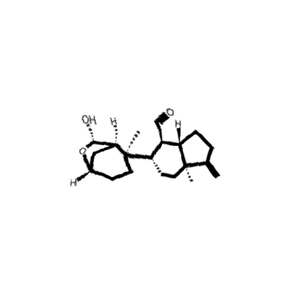 C=C1CC[C@H]2[C@H](C=O)[C@@H]([C@@]3(C)CC[C@H]4C[C@H]3[C@@H](O)O4)CC[C@]12C